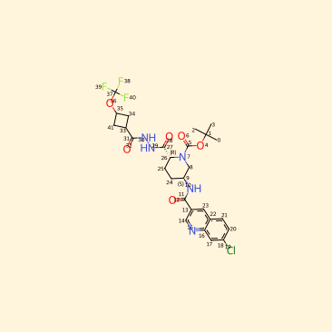 CC(C)(C)OC(=O)N1C[C@@H](NC(=O)c2cnc3cc(Cl)ccc3c2)CC[C@@H]1C(=O)NNC(=O)C1CC(OC(F)(F)F)C1